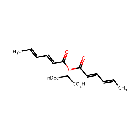 CC=CC=CC(=O)OC(=O)/C=C/C=C/C.CCCCCCCCCCCC(=O)O